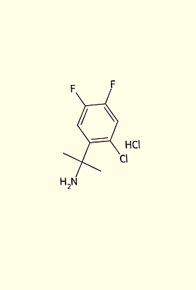 CC(C)(N)c1cc(F)c(F)cc1Cl.Cl